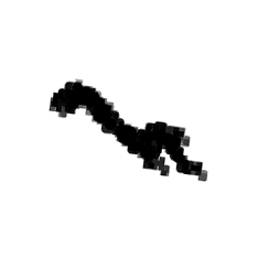 CC[C@@]1(O)C(=O)OCC2=C1C=C1c3nc4ccc(OC(=O)OCc5ccc(NC(=O)[C@H](CC(N)=O)NC(=O)[C@H](C)NC(=O)[C@H](C)NC(=O)COCCOC)cc5)cc4cc3CN1C2